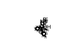 C#CCC(O)(c1ccnc(C(F)(F)F)c1)c1cc2ccccc2n1S(=O)(=O)c1ccc(C)cc1